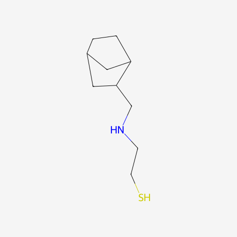 SCCNCC1CC2CCC1C2